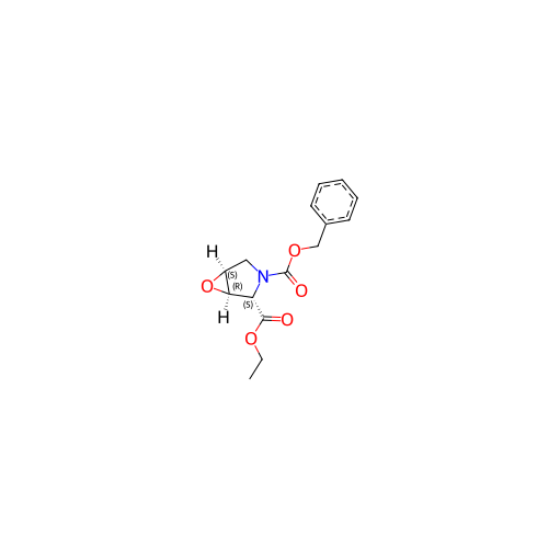 CCOC(=O)[C@@H]1[C@H]2O[C@H]2CN1C(=O)OCc1ccccc1